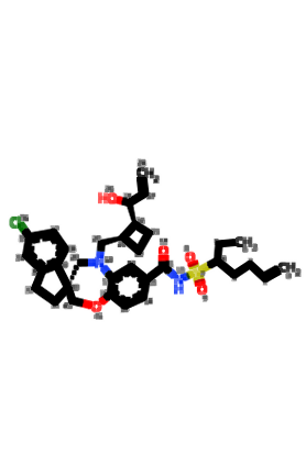 C=CCCC(CC)S(=O)(=O)NC(=O)c1ccc2c(c1)N(C[C@@H]1CC[C@@H]1C(O)C=C)C[C@@]1(CCc3cc(Cl)ccc31)CO2